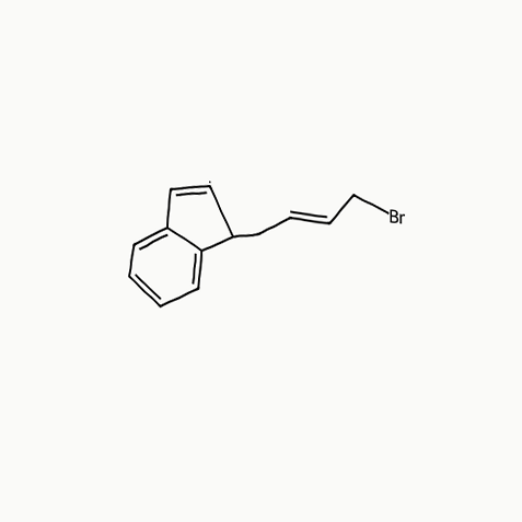 BrCC=CCC1[C]=Cc2ccccc21